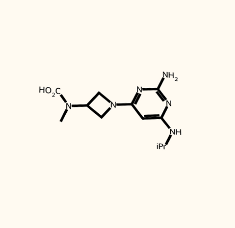 CC(C)Nc1cc(N2CC(N(C)C(=O)O)C2)nc(N)n1